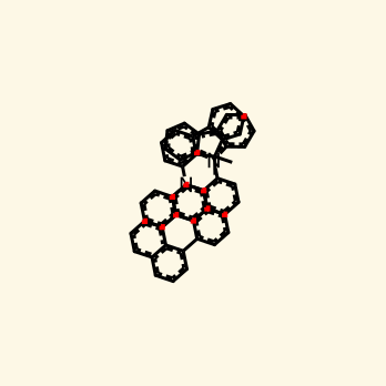 CC1(C)c2ccccc2-c2cccc(N(c3ccccc3-c3ccccc3-c3cccc4cccc(-c5ccccc5)c34)c3ccccc3-n3c4ccccc4c4ccccc43)c21